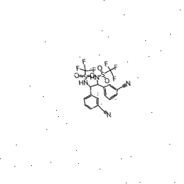 N#Cc1cccc(C(NS(=O)(=O)C(F)(F)F)C(NS(=O)(=O)C(F)(F)F)c2cccc(C#N)c2)c1